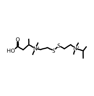 CC(C)[N+](C)(C)CCSSCC[N+](C)(C)C(C)CC(=O)O